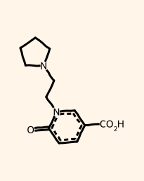 O=C(O)c1ccc(=O)n(CCN2CCCC2)c1